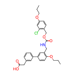 CCCOc1ccc(COC(=O)NCc2cc(-c3cccc(CC(=O)O)c3)ccc2OCCC)c(Cl)c1